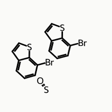 Brc1cccc2ccsc12.Brc1cccc2ccsc12.O=S